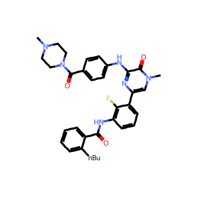 CCCCc1ccccc1C(=O)Nc1cccc(-c2cn(C)c(=O)c(Nc3ccc(C(=O)N4CCN(C)CC4)cc3)n2)c1F